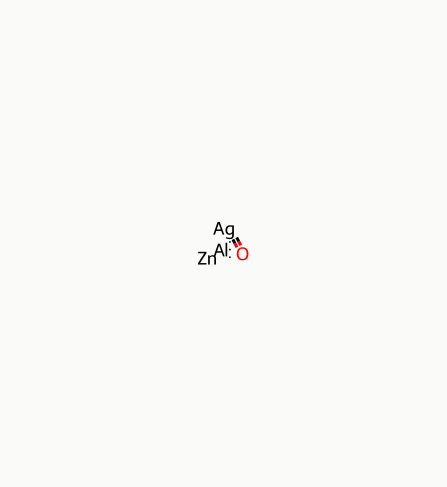 [Al].[O]=[Ag].[Zn]